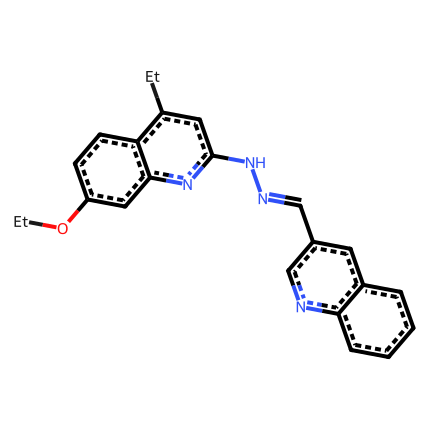 CCOc1ccc2c(CC)cc(N/N=C/c3cnc4ccccc4c3)nc2c1